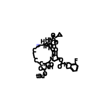 CC(C)(C)OC(=O)N[C@H]1CCCCCC/C=C\[C@@H]2C[C@@]2(C(=O)NS(=O)(=O)C2CC2)NC(=O)[C@@H]2C[C@@H](OC(=O)N3Cc4cccc(F)c4C3)CN2C1=O